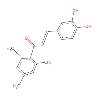 Cc1cc(C)c(C(=O)C=Cc2ccc(O)c(O)c2)c(C)c1